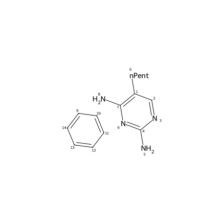 CCCCCc1cnc(N)nc1N.c1ccccc1